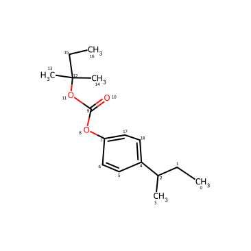 CCC(C)c1ccc(OC(=O)OC(C)(C)CC)cc1